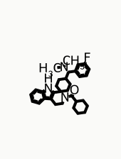 CN(C)C(c1cccc(F)c1)C1CCC2(CC1)c1[nH]c3ccccc3c1CCN2C(=O)C1CCCCC1